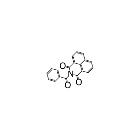 O=C(c1ccccc1)N1C(=O)c2cccc3cccc(c23)C1=O